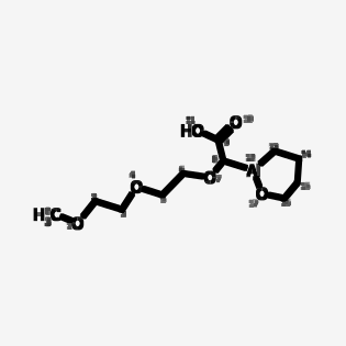 COCCOCCO[CH](C(=O)O)[Al]1[CH2]CCC[O]1